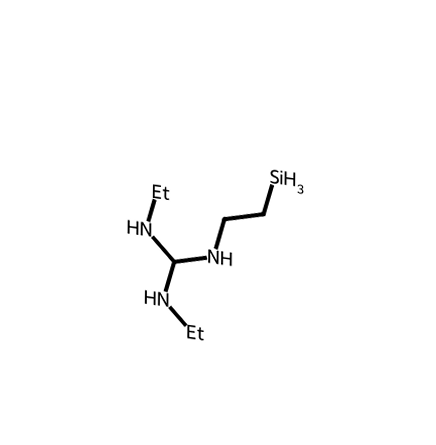 CCNC(NCC)NCC[SiH3]